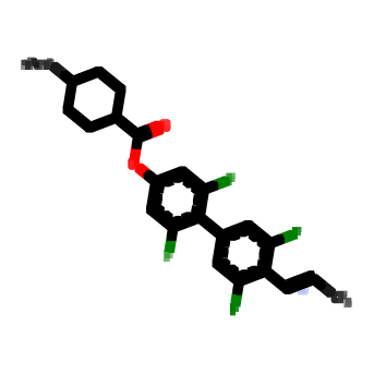 CCCCCC1CCC(C(=O)Oc2cc(F)c(-c3cc(F)c(/C=C/C(F)(F)F)c(F)c3)c(F)c2)CC1